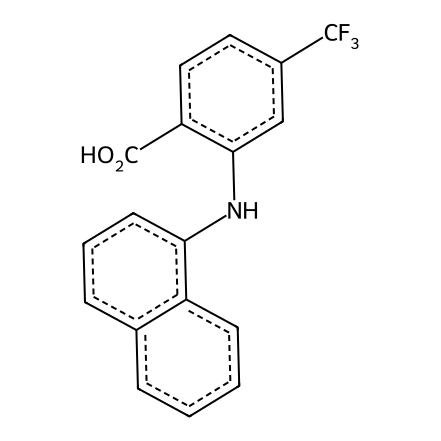 O=C(O)c1ccc(C(F)(F)F)cc1Nc1cccc2ccccc12